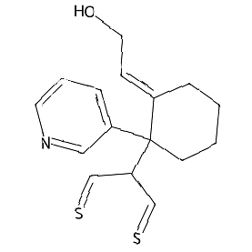 OCC=C1CCCCC1(c1cccnc1)C(C=S)C=S